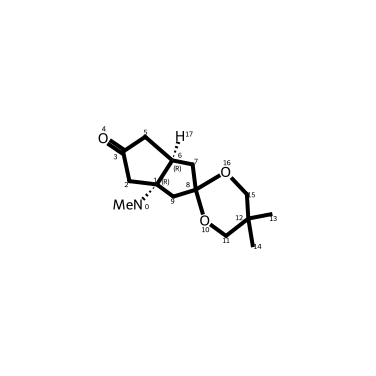 CN[C@]12CC(=O)C[C@H]1CC1(C2)OCC(C)(C)CO1